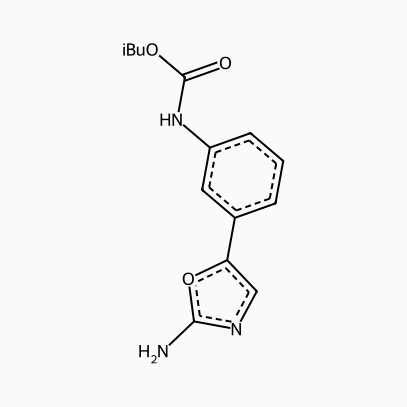 CC(C)COC(=O)Nc1cccc(-c2cnc(N)o2)c1